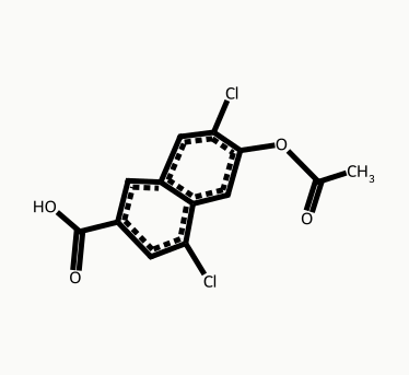 CC(=O)Oc1cc2c(Cl)cc(C(=O)O)cc2cc1Cl